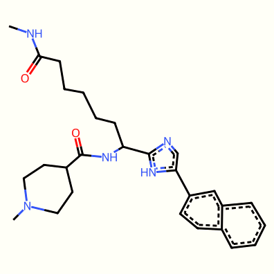 CNC(=O)CCCCCC(NC(=O)C1CCN(C)CC1)c1ncc(-c2ccc3ccccc3c2)[nH]1